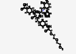 COCCOCCOCC(=O)Nc1ccc(C[C@H](NC(=O)/C=C/c2c(-n3cnnn3)ccc(Cl)c2F)C(=O)Nc2ccc(C(=O)O)cc2)cc1